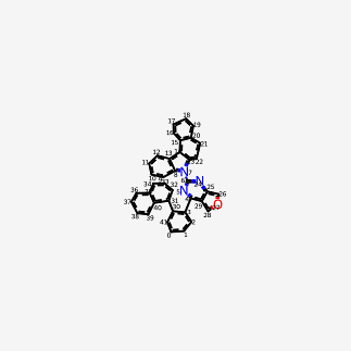 c1ccc(-c2nc(-n3c4ccccc4c4c5ccccc5ccc43)nc3cocc23)c(-c2cccc3ccccc23)c1